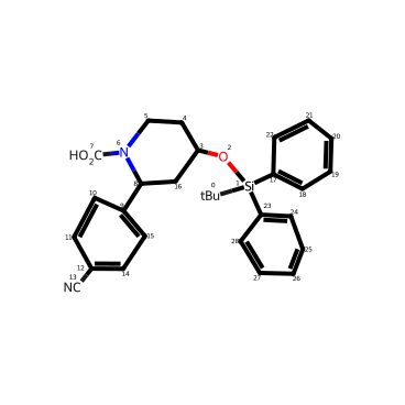 CC(C)(C)[Si](OC1CCN(C(=O)O)C(c2ccc(C#N)cc2)C1)(c1ccccc1)c1ccccc1